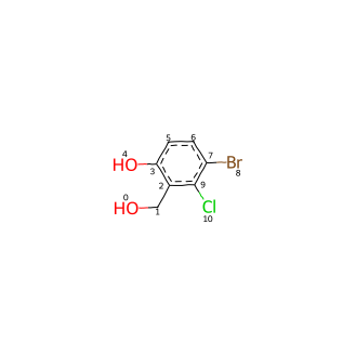 OCc1c(O)ccc(Br)c1Cl